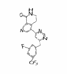 O=C1NCCc2c1cncc2-c1cc(Cc2cc(F)cc(C(F)(F)F)c2)ncn1